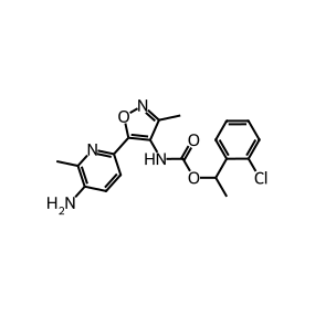 Cc1nc(-c2onc(C)c2NC(=O)OC(C)c2ccccc2Cl)ccc1N